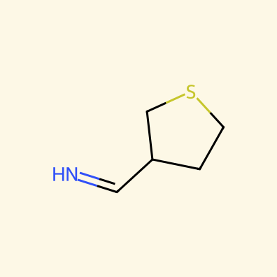 N=CC1CCSC1